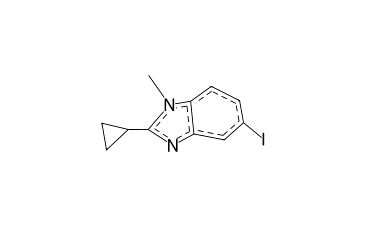 Cn1c(C2CC2)nc2cc(I)ccc21